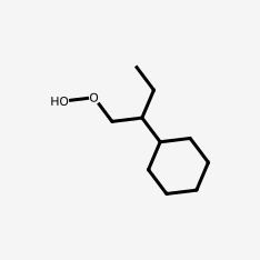 CCC(COO)C1CCCCC1